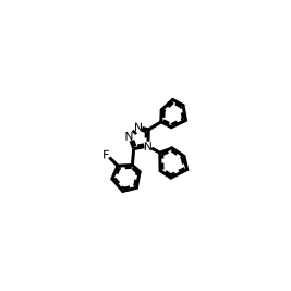 Fc1ccccc1-c1nnc(-c2ccccc2)n1-c1ccccc1